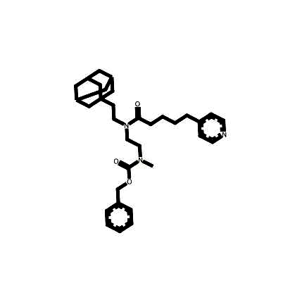 CN(CCN(CCC12CC3CC(CC(C3)C1)C2)C(=O)CCCCc1ccncc1)C(=O)OCc1ccccc1